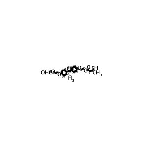 CC(S)CC(=O)OCCOc1ccc(C(C)(C)C2=CC=C(OCCOC=O)CC2)cc1